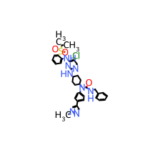 CC(C)S(=O)(=O)c1ccccc1Nc1nc(N[C@H]2CC[C@H](N(C(=O)NCc3ccccc3)c3ccc(-c4cnn(C)c4)cc3)CC2)ncc1Cl